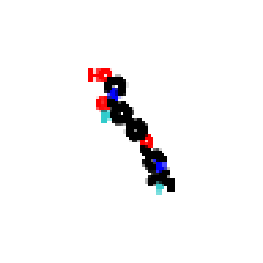 CCC(F)(CC)CN1CCC(COc2ccc(-c3ccc(C(=O)N4CCC[C@@H](O)C4)c(F)c3)cc2)CC1